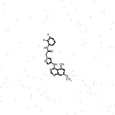 COc1cc(O)c2c(Nc3cnn(CC(=O)Nc4cccc(F)c4F)c3)ncnc2c1